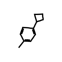 Cc1ccc(C2CCC2)cc1